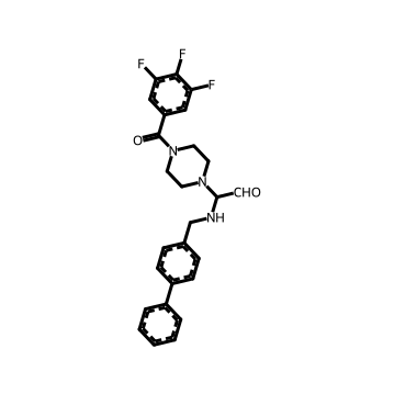 O=CC(NCc1ccc(-c2ccccc2)cc1)N1CCN(C(=O)c2cc(F)c(F)c(F)c2)CC1